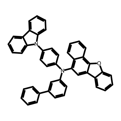 c1ccc(-c2cccc(N(c3ccc(-n4c5ccccc5c5ccccc54)cc3)c3cc4c5ccccc5oc4c4ccccc34)c2)cc1